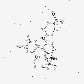 CCOc1cc(=O)n(C)cc1-c1cc(NS(=O)(=O)CC)ccc1OC1CCN(C(=O)O)CC1